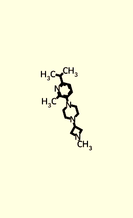 Cc1nc(C(C)C)ccc1N1CCN(C2CN(C)C2)CC1